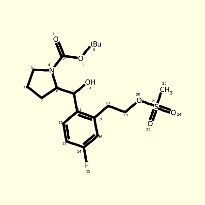 CC(C)(C)OC(=O)N1CCCC1C(O)c1ccc(F)cc1CCOS(C)(=O)=O